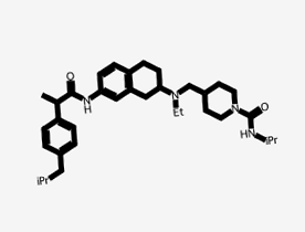 CCN(CC1CCN(C(=O)NC(C)C)CC1)C1CCc2ccc(NC(=O)C(C)c3ccc(CC(C)C)cc3)cc2C1